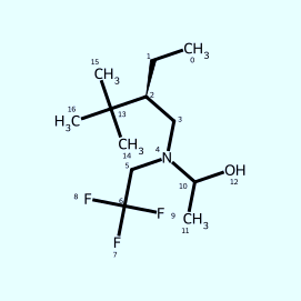 CC[C@@H](CN(CC(F)(F)F)C(C)O)C(C)(C)C